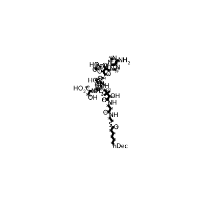 CCCCCCCCCCCCCCCC(=O)SCCNC(=O)CCNC(=O)[C@H](O)C(C)(C)COP(=O)(O)OP(=O)(O)OC[C@H]1O[C@@H](n2cnc3c(N)ncnc32)[C@H](O)[C@@H]1OP(=O)(O)O.N[C@@H](CO)C(=O)O